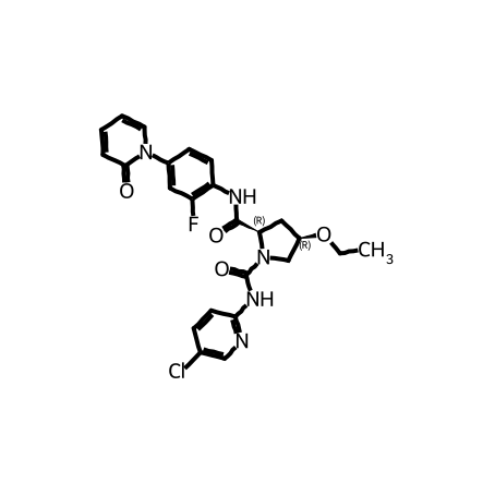 CCO[C@@H]1C[C@H](C(=O)Nc2ccc(-n3ccccc3=O)cc2F)N(C(=O)Nc2ccc(Cl)cn2)C1